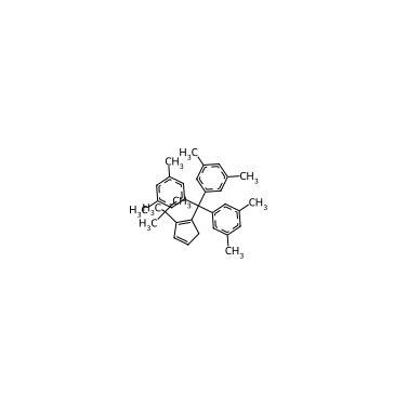 Cc1cc(C)cc(C(C2=C(C(C)(C)C)C=CC2)(c2cc(C)cc(C)c2)c2cc(C)cc(C)c2)c1